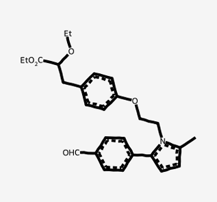 CCOC(=O)C(Cc1ccc(OCCn2c(C)ccc2-c2ccc(C=O)cc2)cc1)OCC